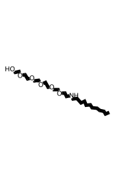 CCCCCCCCCCCCNCCOCCOCCOCCOCCOCCO